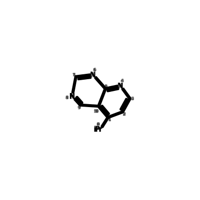 CC(C)c1ccnc2ncncc12